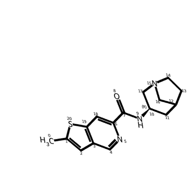 Cc1cc2cnc(C(=O)N[C@@H]3CC4CCN(C4)C3)cc2s1